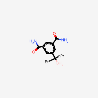 BC(CC)(CCC)c1cc(C(N)=O)cc(C(N)=O)c1